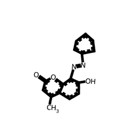 Cc1cc(=O)oc2c(N=Nc3ccccc3)c(O)ccc12